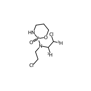 [3H]C(Cl)C([3H])N(CCCl)P1(=O)NCCCO1